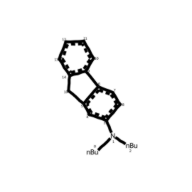 CCCCN(CCCC)c1[c]c2c(cc1)-c1ccccc1C2